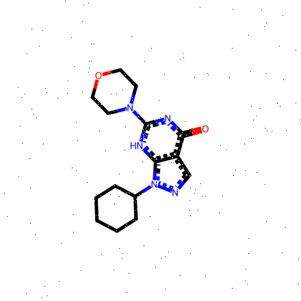 O=c1nc(N2CCOCC2)[nH]c2c1cnn2C1CCCCC1